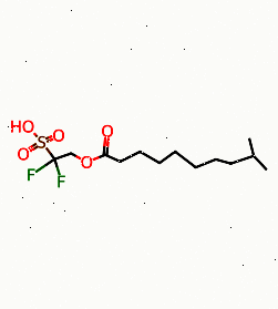 CC(C)CCCCCCCC(=O)OCC(F)(F)S(=O)(=O)O